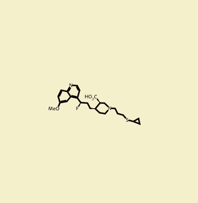 COc1ccc2nccc([C@H](F)CC[C@@H]3CCN(CCCSC4CC4)C[C@@H]3C(=O)O)c2c1